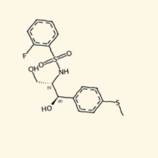 CSc1ccc([C@@H](O)[C@H](CO)NS(=O)(=O)c2ccccc2F)cc1